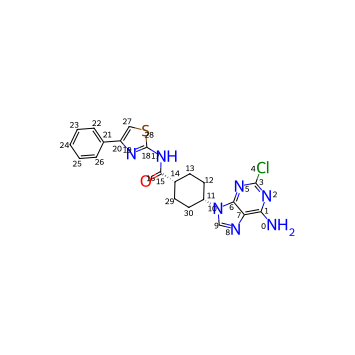 Nc1nc(Cl)nc2c1ncn2[C@H]1CC[C@@H](C(=O)Nc2nc(-c3ccccc3)cs2)CC1